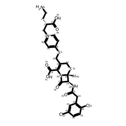 NCC[C@@H](C[n+]1ccc(SCC2=C(C(=O)O)N3C(=O)[C@H](NC(=O)Cc4cc(Cl)ccc4Cl)[C@H]3SC2)cc1)C(=O)O